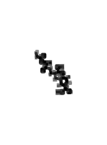 CCC(=O)ONC(=O)CCC(Cc1cccc(C(=O)O)c1)C(=O)O